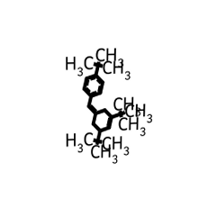 CC(C)(C)C1=CC(C(C)(C)C)CC(=Cc2ccc(C(C)(C)C)cc2)C1